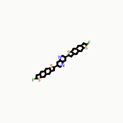 Fc1cc2cc3cc4sc(-c5cnc6cc(-c7cc8cc9cc%10sc(F)cc%10cc9cc8s7)cnc6c5)cc4cc3cc2s1